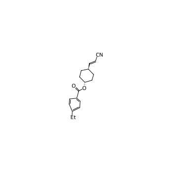 CCc1ccc(C(=O)O[C@H]2CC[C@H](C=CC#N)CC2)cc1